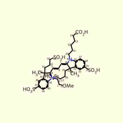 COCC[N+]1=C(/C=C/C=C2/N(CCCCCC(=O)O)c3ccc(S(=O)(=O)O)cc3C2(C)CCCS(=O)(=O)O)C(C)(CCCS(=O)(=O)O)c2cc(S(=O)(=O)O)ccc21